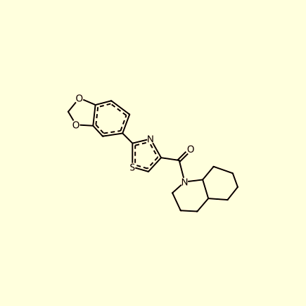 O=C(c1csc(-c2ccc3c(c2)OCO3)n1)N1CCCC2CCCCC21